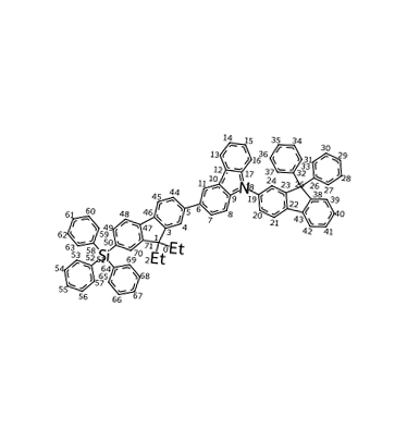 CCC1(CC)c2cc(-c3ccc4c(c3)c3ccccc3n4-c3ccc4c(c3)C(c3ccccc3)(c3ccccc3)c3ccccc3-4)ccc2-c2ccc([Si](c3ccccc3)(c3ccccc3)c3ccccc3)cc21